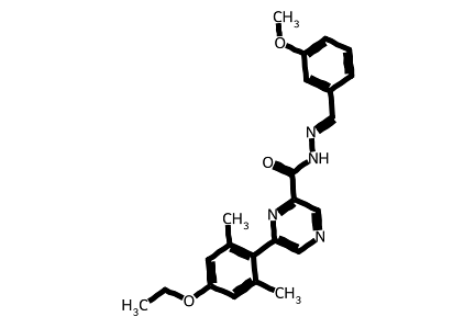 CCOc1cc(C)c(-c2cncc(C(=O)N/N=C/c3cccc(OC)c3)n2)c(C)c1